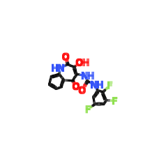 O=C(Nc1cc(F)cc(F)c1F)Nc1c(O)c(=O)[nH]c2ccccc2c1=O